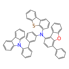 c1ccc(-c2ccc(N(c3cccc(-c4ccccc4-n4c5ccccc5c5ccccc54)c3)c3cccc4c3sc3ccccc34)c3c2oc2ccccc23)cc1